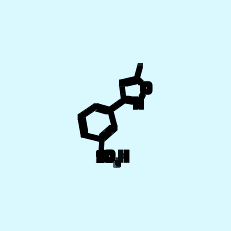 Cc1cc(-c2cccc(S(=O)(=O)O)c2)no1